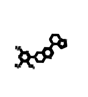 Cc1nc(C(F)(F)F)nc(N2CCc3ncc(N4CCCn5nccc54)cc3C2)c1C